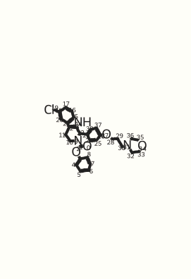 O=C(Oc1ccccc1)N1CCc2c([nH]c3ccc(Cl)cc23)C1c1ccc(OCCCN2CCOCC2)cc1